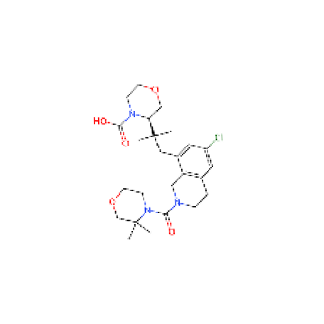 CC(C)(Cc1cc(Cl)cc2c1CN(C(=O)N1CCOCC1(C)C)CC2)[C@@H]1COCCN1C(=O)O